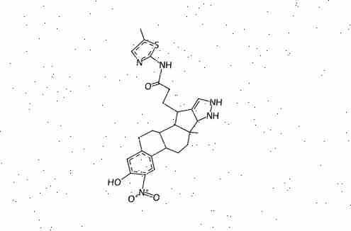 Cc1cnc(NC(=O)CCC2C3=CNNC3C3(C)CCC4c5cc([N+](=O)[O-])c(O)cc5CCC4C23)s1